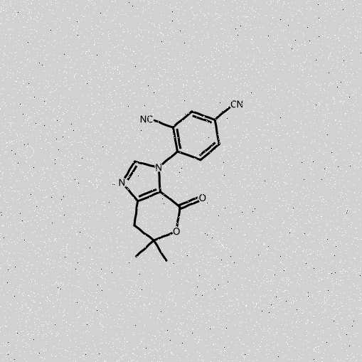 CC1(C)Cc2ncn(-c3ccc(C#N)cc3C#N)c2C(=O)O1